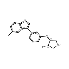 Cc1ccc2ncc(-c3cccc(N[C@H]4CNC[C@@H]4F)n3)n2c1